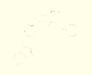 Cc1nc2c(n1Cc1ccc(S(=O)(=O)N(C)[C@@H](CC(C)C)C(=O)OCc3ccccc3)cc1)C=CNC2